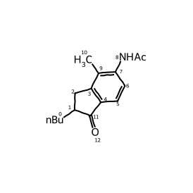 CCCCC1Cc2c(ccc(NC(C)=O)c2C)C1=O